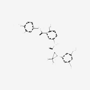 Nc1ccc(NC(=O)c2cc(NC(=O)[C@@H]3[C@@H](c4cc(Cl)cc(Cl)c4)C3(Cl)Cl)ccc2Cl)cc1F